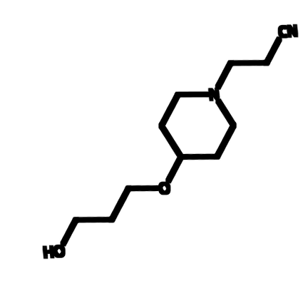 N#CCCN1CCC(OCCCO)CC1